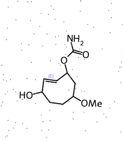 COC1CCC(O)/C=C/C(OC(N)=O)C1